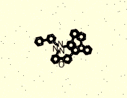 c1ccc(-c2cccc(-c3nc(-c4cccc(-c5ccccc5)c4)nc(-c4cccc5oc6ccc(-c7ccc8c(c7)-c7ccccc7C8c7ccccc7)cc6c45)n3)c2)cc1